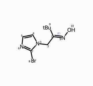 CC(C)(C)/C(Cn1ccnc1Br)=N\O